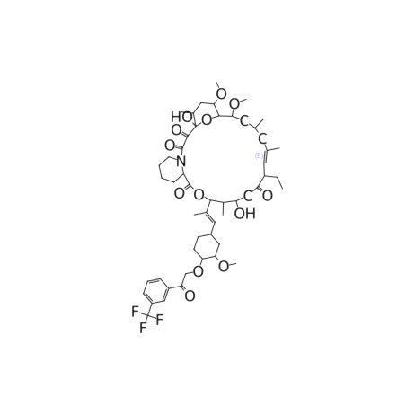 CCC1/C=C(\C)CC(C)CC(OC)C2OC(O)(C(=O)C(=O)N3CCCCC3C(=O)OC(C(C)=CC3CCC(OCC(=O)c4cccc(C(F)(F)F)c4)C(OC)C3)C(C)C(O)CC1=O)C(C)CC2OC